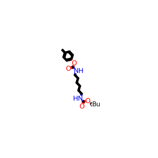 Cc1ccc(OC(=O)NCCCCCCNC(=O)OC(C)(C)C)cc1